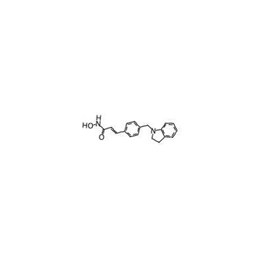 O=C(/C=C/c1ccc(CN2CCc3ccccc32)cc1)NO